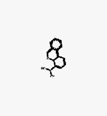 OB(O)C1=CC=CC2=c3ccccc3=COC12